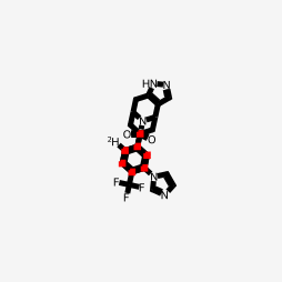 [2H]c1cc(C(F)(F)F)ccc1S(=O)(=O)N1C2Cc3[nH]ncc3C1CC(c1cccc(-n3ccnc3)c1)C2